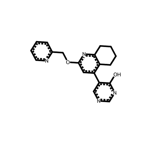 Oc1ncncc1-c1cc(OCc2ccccn2)nc2c1CCCC2